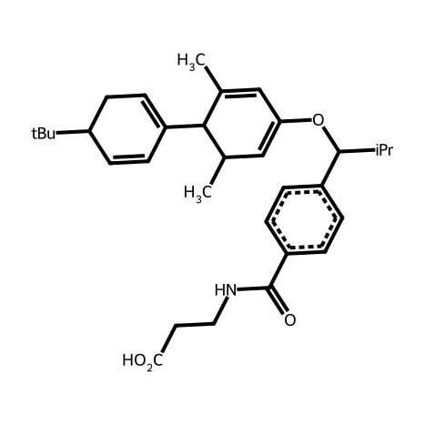 CC1=CC(OC(c2ccc(C(=O)NCCC(=O)O)cc2)C(C)C)=CC(C)C1C1=CCC(C(C)(C)C)C=C1